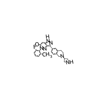 Cc1cccc(F)c1-n1nc2c(-c3ccc4c(c3)CCN(C3CNC3)C4)n[nH]c2cc1=O